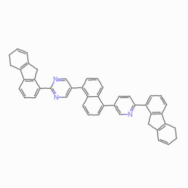 C1=CC2=C(CC1)c1cccc(-c3ccc(-c4cccc5c(-c6cnc(-c7cccc8c7CC7=C8CCC=C7)nc6)cccc45)cn3)c1C2